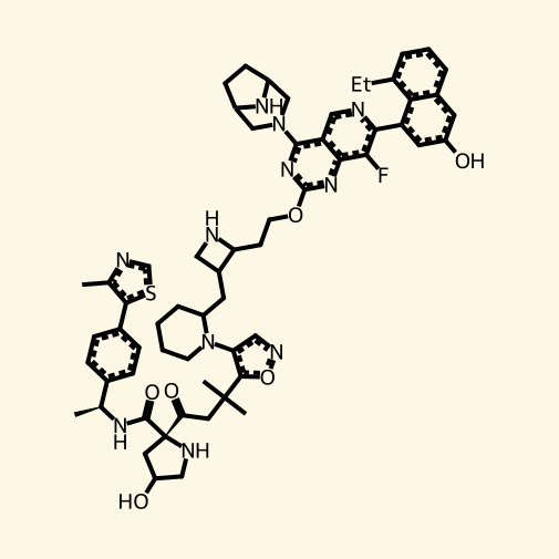 CCc1cccc2cc(O)cc(-c3ncc4c(N5CC6CCC(C5)N6)nc(OCCC5NCC5CC5CCCCN5c5cnoc5C(C)(C)CC(=O)[C@]5(C(=O)N[C@@H](C)c6ccc(-c7scnc7C)cc6)CC(O)CN5)nc4c3F)c12